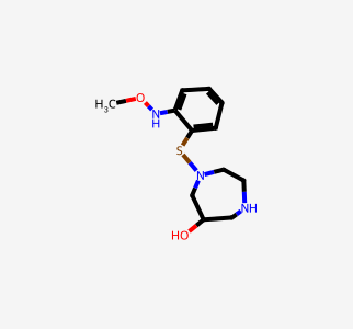 CONc1ccccc1SN1CCNCC(O)C1